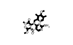 COC(=O)C[C@H](C(=O)OC)N(Cc1ncc(C)c(OC)c1C)c1nc(N)ncc1[N+](=O)[O-]